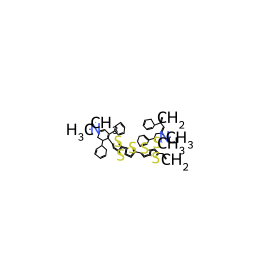 C=Cc1sc2cc(-c3cc4sc5cc(C6=C(C7C=CC=CC7)C=C(N(C)C)CC6C6C=CC=CC6)sc5c4s3)sc2c1SC(C/C(=C\C(=C)C1C=CC=CC1)N(C)C)C1=CCCC=C1